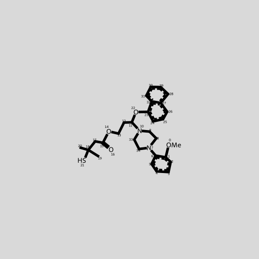 COc1ccccc1N1CCN(C(CCOC(=O)CC(C)(C)S)Oc2cccc3ccccc23)CC1